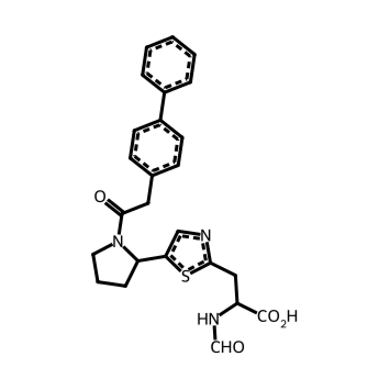 O=CNC(Cc1ncc(C2CCCN2C(=O)Cc2ccc(-c3ccccc3)cc2)s1)C(=O)O